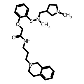 CN1CCC(CN(C)Sc2ccccc2OCC(=O)NCCCN2CCc3ccccc3C2)C1